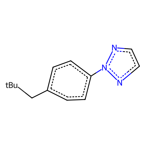 CC(C)(C)Cc1ccc(-n2nccn2)cc1